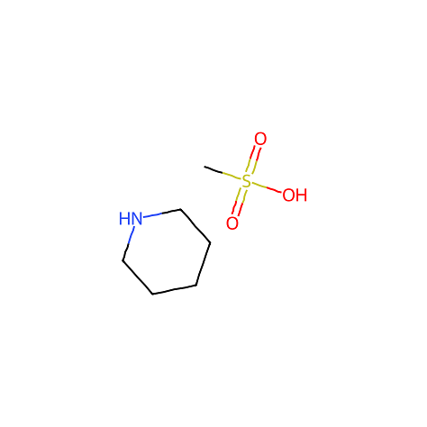 C1CCNCC1.CS(=O)(=O)O